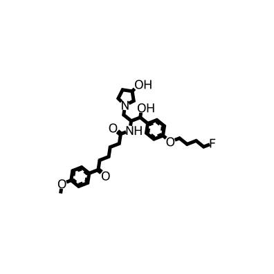 COc1ccc(C(=O)CCCCC(=O)NC(CN2CCC(O)C2)C(O)c2ccc(OCCCCF)cc2)cc1